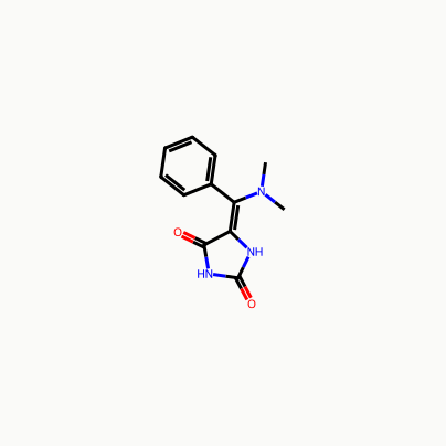 CN(C)C(=C1NC(=O)NC1=O)c1ccccc1